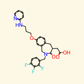 O=C(O)CC1Cc2ccc(OCCCNc3ccccn3)cc2CN(Cc2ccc(F)c(F)c2F)C1=O